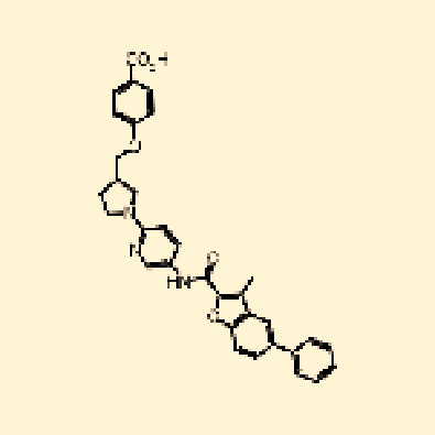 Cc1c(C(=O)Nc2ccc(N3CCC(COc4ccc(C(=O)O)cc4)C3)nc2)oc2ccc(-c3ccccc3)cc12